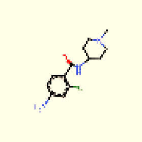 CN1CCC(NC(=O)c2ccc(N)cc2Cl)CC1